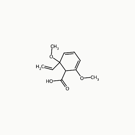 C=CC1(OC)C=CC=C(OC)C1C(=O)O